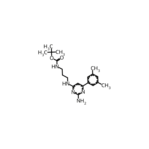 Cc1cc(C)cc(-c2cc(NCCCNC(=O)OC(C)(C)C)nc(N)n2)c1